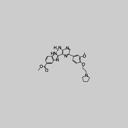 COC(=O)c1ccc2[nH]c(-c3nc(-c4ccc(OCCN5CCCC5)c(OC)c4)cnc3N)nc2c1